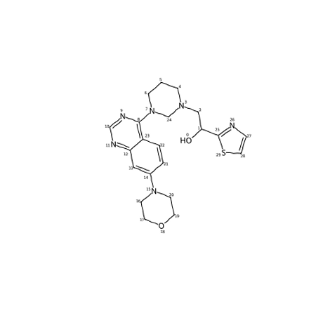 OC(CN1CCCN(c2ncnc3cc(N4CCOCC4)ccc23)C1)c1nccs1